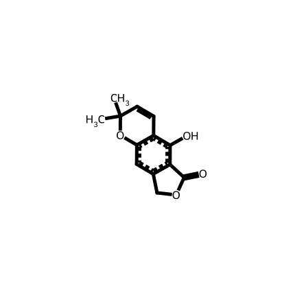 CC1(C)C=Cc2c(cc3c(c2O)C(=O)OC3)O1